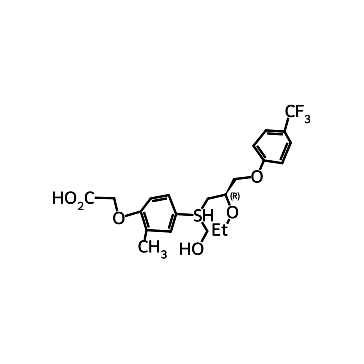 CCO[C@H](COc1ccc(C(F)(F)F)cc1)C[SH](CO)c1ccc(OCC(=O)O)c(C)c1